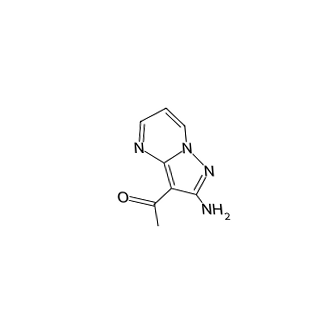 CC(=O)c1c(N)nn2cccnc12